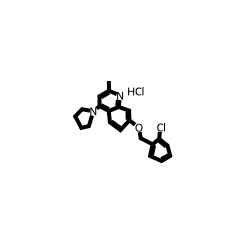 Cc1cc(N2CCCC2)c2ccc(OCc3ccccc3Cl)cc2n1.Cl